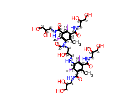 Cc1c(C(=O)NCC(O)CO)c(I)c(NCC(O)CN(C=O)c2c(C)c(C(=O)NCC(O)CO)c(I)c(C(=O)NCC(O)CO)c2I)c(I)c1C(=O)NCC(O)CO